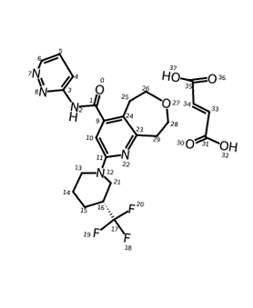 O=C(Nc1cccnn1)c1cc(N2CCC[C@@H](C(F)(F)F)C2)nc2c1CCOCC2.O=C(O)C=CC(=O)O